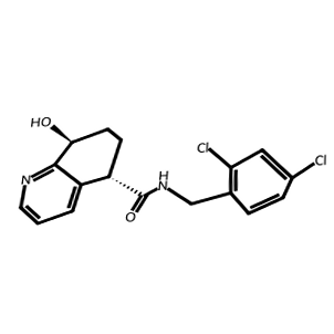 O=C(NCc1ccc(Cl)cc1Cl)[C@H]1CC[C@H](O)c2ncccc21